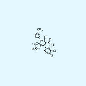 CCn1c(C)c(-n2ccc(C)n2)c(=O)c(C(=O)O)c1-c1ccc(Cl)c(Cl)c1